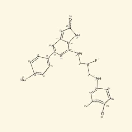 Cc1cc(NCC(F)CNc2nc(-c3ccc(C(C)(C)C)cc3)nc3cc(=O)[nH]n23)ccc1Cl